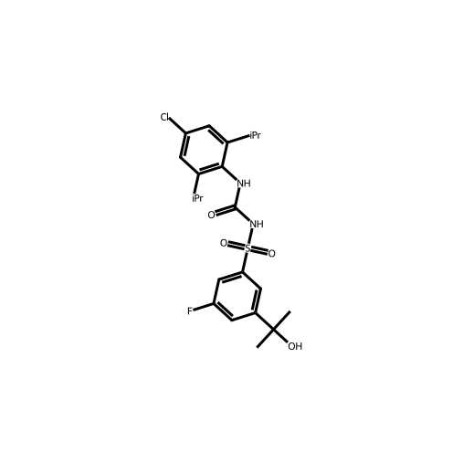 CC(C)c1cc(Cl)cc(C(C)C)c1NC(=O)NS(=O)(=O)c1cc(F)cc(C(C)(C)O)c1